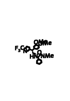 CNC(=O)[C@H](NCC[C@@H](c1ccc(C(F)(F)F)nc1)c1ccc(OC)c(OC)c1)c1ccccc1